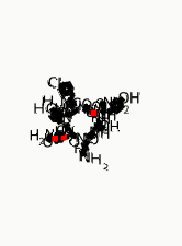 C[C@@H](O)[C@@H]1NC(=O)[C@H](CCCCN)NC(=O)[C@@H](Cc2ccc(C(N)=O)cc2)NC(=O)[C@H](Cc2ccc(O)cc2)NC(=O)[C@H](NC(=O)[C@@H](N)Cc2ccc(Cl)cc2)CNC(=O)C[C@@H](C(=O)N[C@H](Cc2ccc(O)cc2)C(N)=O)NC1=O